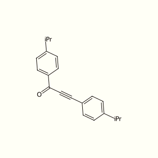 CC(C)c1ccc(C#CC(=O)c2ccc(C(C)C)cc2)cc1